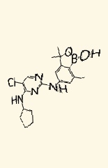 Cc1cc(Nc2ncc(Cl)c(NC3CCCC3)n2)cc2c1B(O)OC2(C)C